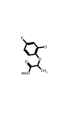 COC(=O)C(C)Oc1c[c]c(F)cc1Cl